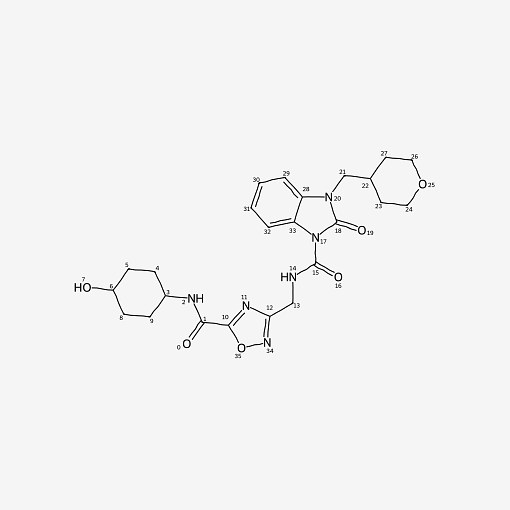 O=C(NC1CCC(O)CC1)c1nc(CNC(=O)n2c(=O)n(CC3CCOCC3)c3ccccc32)no1